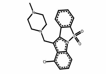 CN1CCN(Cc2c3n(c4cccc(Cl)c24)S(=O)(=O)c2ccccc2-3)CC1